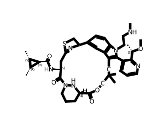 CNCCn1c(-c2cccnc2[C@H](C)OC)c2c3cc(ccc31)C1CSC(=N1)C[C@H](NC(=O)[C@H]1[C@H](C)[C@@H]1C)C(=O)N1CCC[C@H](N1)C(=O)OCC(C)(C)C2